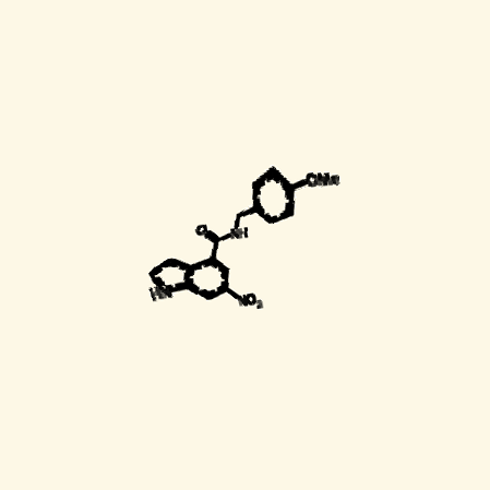 COc1ccc(CNC(=O)c2cc([N+](=O)[O-])cc3[nH]ccc23)cc1